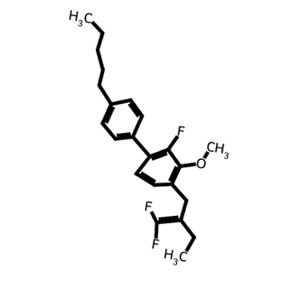 CCCCCc1ccc(-c2ccc(CC(CC)=C(F)F)c(OC)c2F)cc1